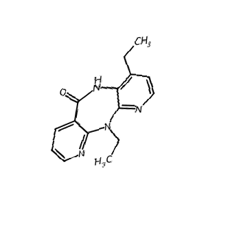 CCc1ccnc2c1NC(=O)c1cccnc1N2CC